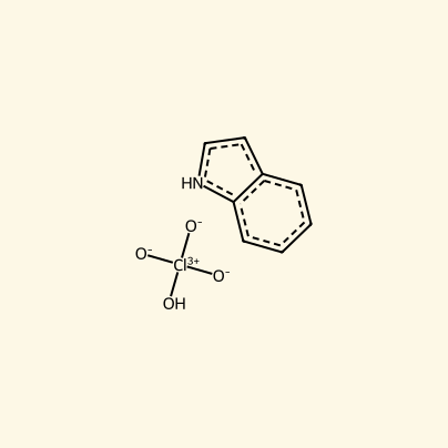 [O-][Cl+3]([O-])([O-])O.c1ccc2[nH]ccc2c1